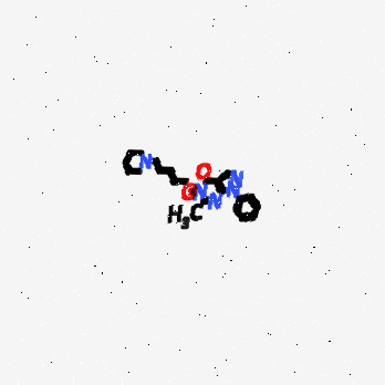 Cc1nc2c(cnn2-c2ccccc2)c(=O)n1OCCCCCN1CCCCC1